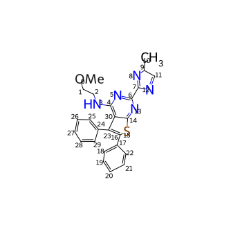 COCCNc1nc(C2=NC(C)C=N2)nc2sc(-c3ccccc3)c(-c3ccccc3)c12